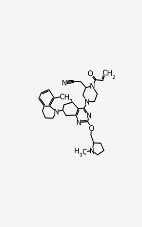 C=CC(=O)N1CCN(c2nc(OCC3CCCN3C)nc3c2CCC(N2CCCc4cccc(C)c42)C3)CC1CC#N